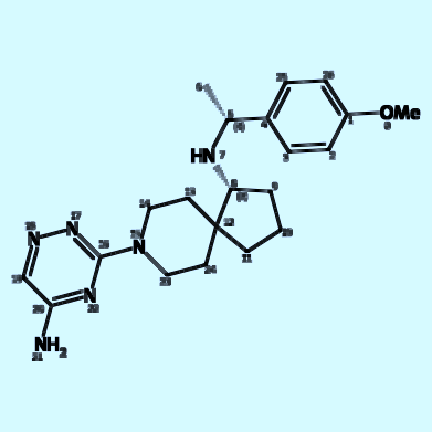 COc1ccc([C@@H](C)N[C@@H]2CCCC23CCN(c2nncc(N)n2)CC3)cc1